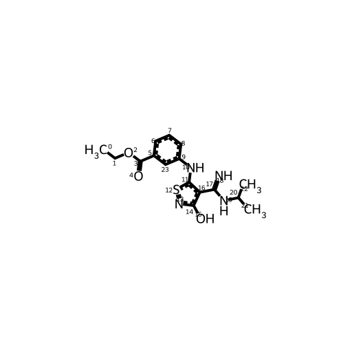 CCOC(=O)c1cccc(Nc2snc(O)c2C(=N)NC(C)C)c1